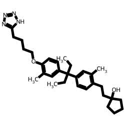 CCC(CC)(c1ccc(CCC2(O)CCCC2)c(C)c1)c1ccc(OCCCCc2nnn[nH]2)c(C)c1